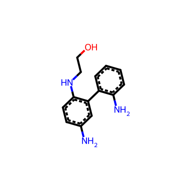 Nc1ccc(NCCO)c(-c2ccccc2N)c1